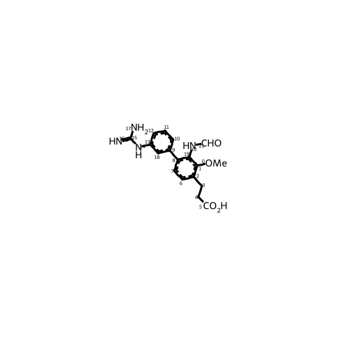 COc1c(CCC(=O)O)ccc(-c2cccc(NC(=N)N)c2)c1NC=O